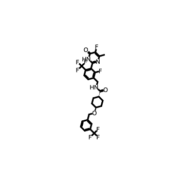 Cc1nc(-c2c(C(F)(F)F)ccc(CNC(=O)[C@H]3CC[C@H](OCc4cccc(C(F)(F)F)c4)CC3)c2F)[nH]c(=O)c1F